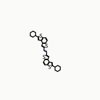 C(=C\c1cc2c(ccc3sc(C4CCCCC4)cc32)s1)/c1cc2c(ccc3sc(C4CCCCC4)cc32)s1